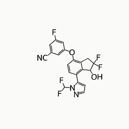 N#Cc1cc(F)cc(Oc2ccc(-c3ccnn3C(F)F)c3c2CC(F)(F)C3O)c1